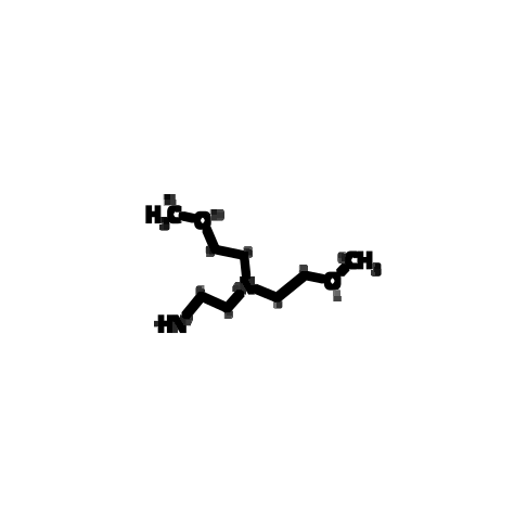 COCCN(CC[NH])CCOC